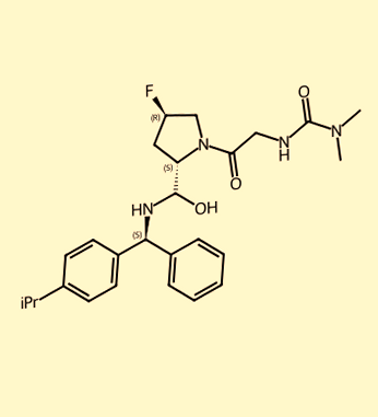 CC(C)c1ccc([C@@H](NC(O)[C@@H]2C[C@@H](F)CN2C(=O)CNC(=O)N(C)C)c2ccccc2)cc1